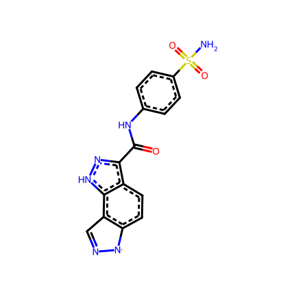 NS(=O)(=O)c1ccc(NC(=O)c2n[nH]c3c4c(ccc23)[N]N=C4)cc1